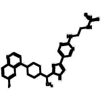 CC(c1nc(-c2cnc(NCCN[SH](=O)=O)nc2)c[nH]1)C1CCC(c2ccnc3ccc(F)cc23)CC1